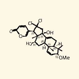 CO[C@H]1C=C[C@]2(C)[C@H]3C[C@@H](O)[C@]4(C)[C@@H](c5ccc(=O)oc5)C(Cl)(Cl)C[C@]4(O)C3=CC[C@H]2C1(C)C